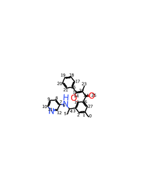 Cc1cc(C(C)Nc2cccnc2)c2oc(-c3ccccc3)c(C)c(=O)c2c1